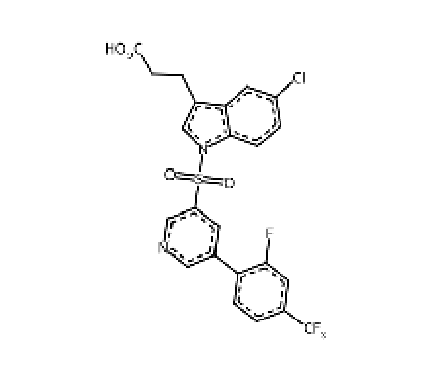 O=C(O)CCc1cn(S(=O)(=O)c2cncc(-c3ccc(C(F)(F)F)cc3F)c2)c2ccc(Cl)cc12